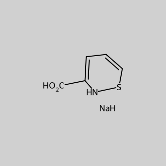 O=C(O)C1=CC=CSN1.[NaH]